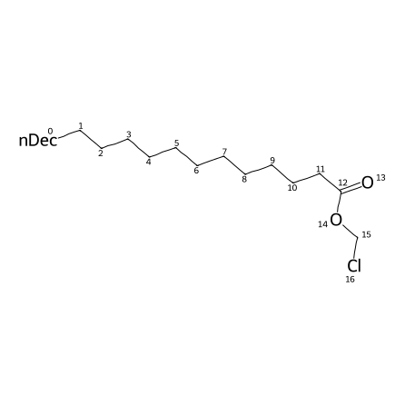 CCCCCCCCCCCCCCCCCCCCCC(=O)OCCl